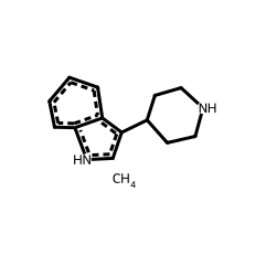 C.c1ccc2c(C3CCNCC3)c[nH]c2c1